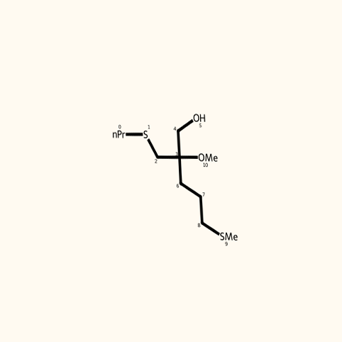 CCCSCC(CO)(CCCSC)OC